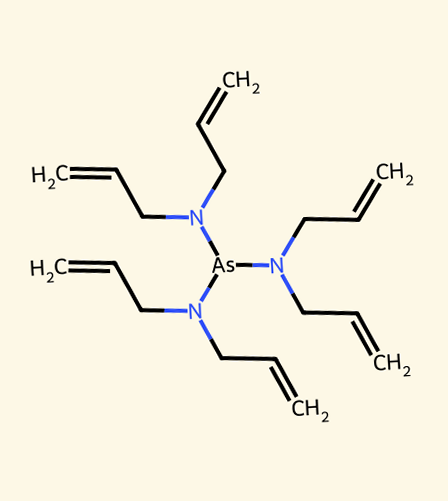 C=CCN(CC=C)[As](N(CC=C)CC=C)N(CC=C)CC=C